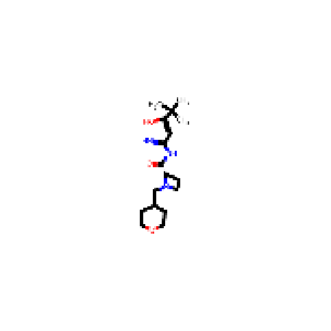 CC(C)(C)/C(O)=C/C(=N)NC(=O)[C@@H]1CCN1CC1CCOCC1